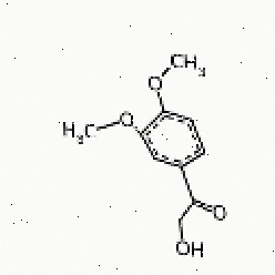 COc1ccc(C(=O)CO)cc1OC